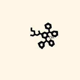 CCCC(CC)CC(C)c1cc(C(c2ccccc2)c2ccccc2)c(O)c(C(c2ccccc2)c2ccccc2)c1